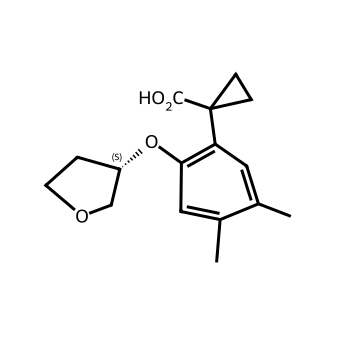 Cc1cc(O[C@H]2CCOC2)c(C2(C(=O)O)CC2)cc1C